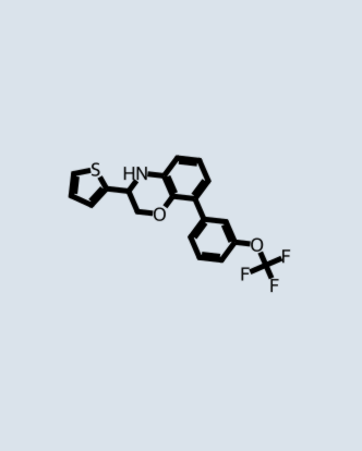 FC(F)(F)Oc1cccc(-c2cccc3c2OCC(c2cccs2)N3)c1